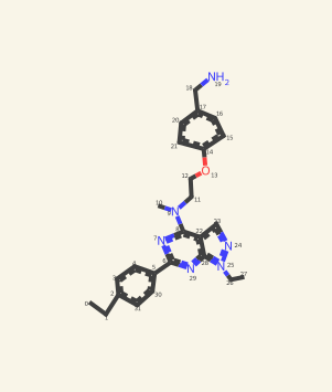 CCc1ccc(-c2nc(N(C)CCOc3ccc(CN)cc3)c3cnn(CC)c3n2)cc1